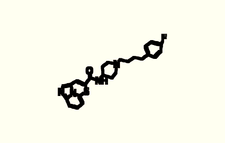 O=C(NC1CCN(CCCCc2ccc(F)cc2)CC1)C1=Cc2cnc3cccc(n23)S1